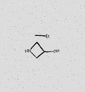 CCC.OC1CNC1